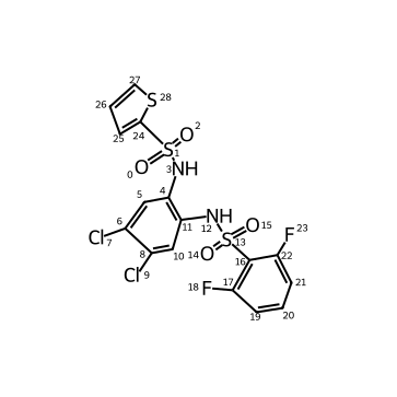 O=S(=O)(Nc1cc(Cl)c(Cl)cc1NS(=O)(=O)c1c(F)cccc1F)c1cccs1